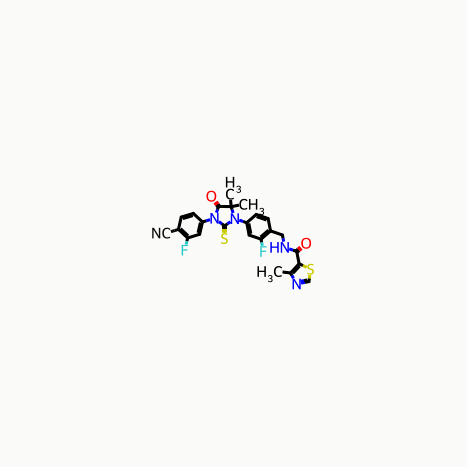 Cc1ncsc1C(=O)NCc1ccc(N2C(=S)N(c3ccc(C#N)c(F)c3)C(=O)C2(C)C)cc1F